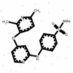 CNS(=O)(=O)c1ccc(Nc2cc(Oc3ccc(C)nc3C)ccn2)cc1